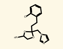 CCCC1COC(CCc2ccccc2Cl)(Cn2ccnc2)O1